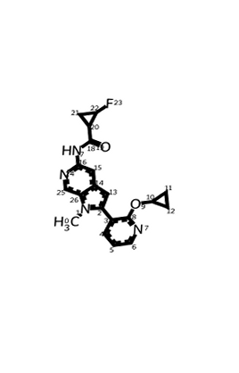 Cn1c(-c2cccnc2OC2CC2)cc2cc(NC(=O)C3CC3F)ncc21